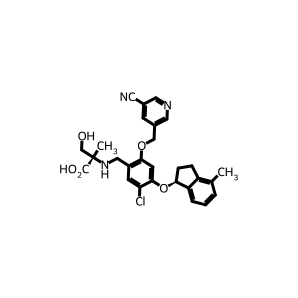 Cc1cccc2c1CC[C@@H]2Oc1cc(OCc2cncc(C#N)c2)c(CN[C@@](C)(CO)C(=O)O)cc1Cl